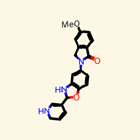 COc1ccc2c(c1)CN(c1ccc3c(c1)NC(C1=CNCC=C1)O3)C2=O